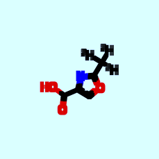 [2H]C([2H])([2H])c1nc(C(=O)O)co1